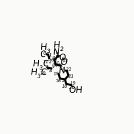 CCC[C@H](C(N)=O)[C@@H](CC(C)C)C(=O)N1CCC(CCO)CC1